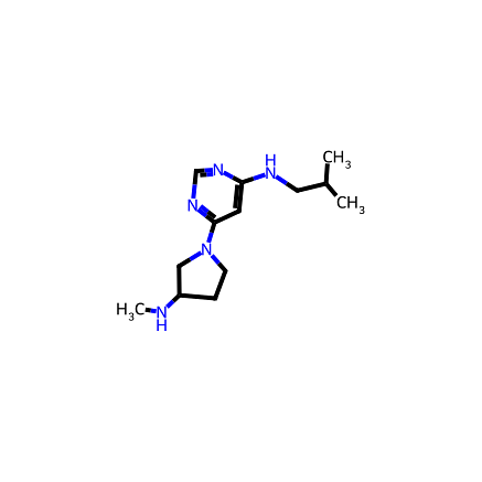 CNC1CCN(c2cc(NCC(C)C)ncn2)C1